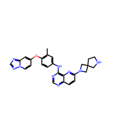 Cc1cc(Nc2ncnc3ccc(N4CC5(CCNC5)C4)nc23)ccc1Oc1ccn2ncnc2c1